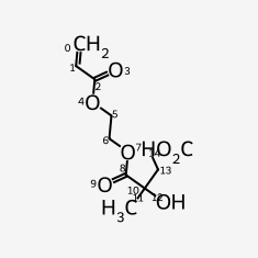 C=CC(=O)OCCOC(=O)C(C)(O)CC(=O)O